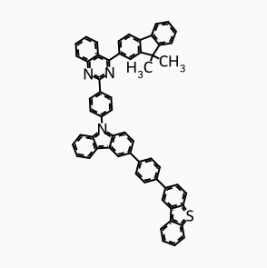 CC1(C)c2ccccc2-c2ccc(-c3nc(-c4ccc(-n5c6ccccc6c6cc(-c7ccc(-c8ccc9sc%10ccccc%10c9c8)cc7)ccc65)cc4)nc4ccccc34)cc21